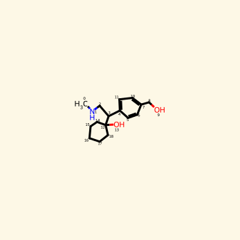 CNCC(c1ccc(CO)cc1)C1(O)CCCCC1